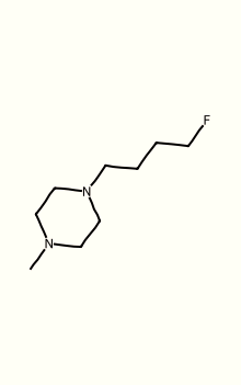 CN1CCN(CCCCF)CC1